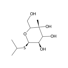 CC(C)S[C@H]1OC(CO)[C@](C)(O)C(O)[C@H]1O